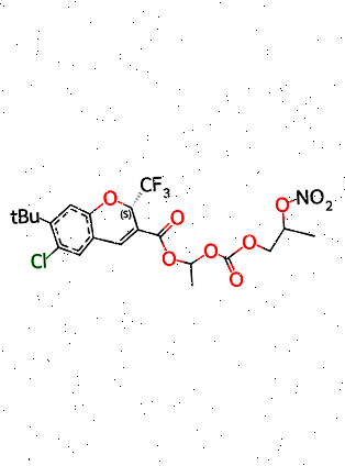 CC(COC(=O)OC(C)OC(=O)C1=Cc2cc(Cl)c(C(C)(C)C)cc2O[C@@H]1C(F)(F)F)O[N+](=O)[O-]